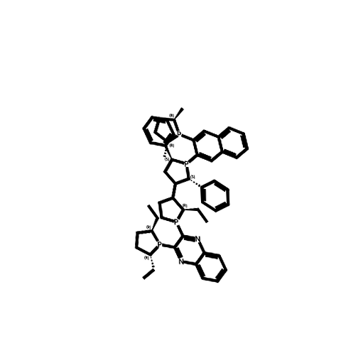 CC[C@@H]1CC[C@@H](CC)P1c1nc2ccccc2nc1P1CCC(C2C[C@@H](c3ccccc3)P(c3cc4ccccc4cc3P3[C@H](C)CC[C@H]3C)[C@@H]2c2ccccc2)[C@H]1CC